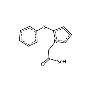 O=C([SeH])Cn1cccc1Sc1ccccc1